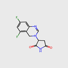 O=C1CC(N2C=Nc3cc(F)cc(F)c3C2)C(=O)N1